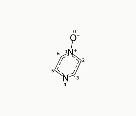 [O-][n+]1c[c]ncc1